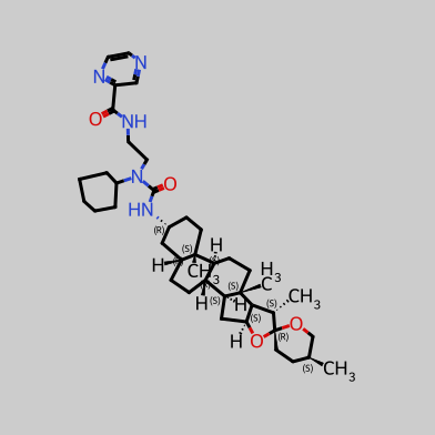 C[C@H]1CC[C@@]2(OC1)O[C@H]1C[C@H]3[C@@H]4CC[C@@H]5C[C@H](NC(=O)N(CCNC(=O)c6cnccn6)C6CCCCC6)CC[C@]5(C)[C@H]4CC[C@]3(C)C1[C@@H]2C